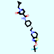 CC(F)(F)COc1nc2c(s1)CCN(CC[C@H]1CC[C@H](NC(=O)c3ccn(CC4CC4)c(=O)c3)CC1)C2